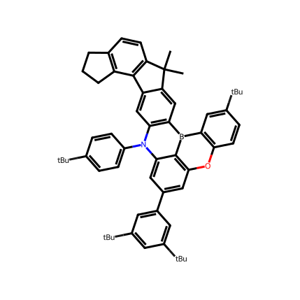 CC(C)(C)c1ccc(N2c3cc4c(cc3B3c5cc(C(C)(C)C)ccc5Oc5cc(-c6cc(C(C)(C)C)cc(C(C)(C)C)c6)cc2c53)C(C)(C)c2ccc3c(c2-4)CCC3)cc1